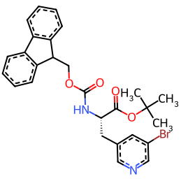 CC(C)(C)OC(=O)[C@H](Cc1cncc(Br)c1)NC(=O)OCC1c2ccccc2-c2ccccc21